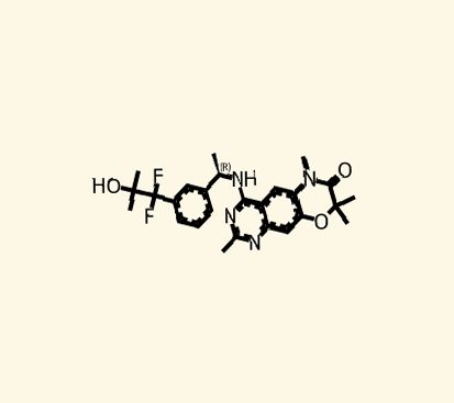 Cc1nc(N[C@H](C)c2cccc(C(F)(F)C(C)(C)O)c2)c2cc3c(cc2n1)OC(C)(C)C(=O)N3C